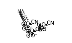 N#CCOP(=O)([O-])[O-].N#CCOP(=O)([O-])[O-].N#CCOP(=O)([O-])[O-].[H+].[H+].[H+].[H+].[K+].[K+]